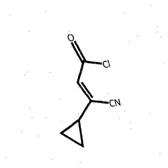 N#CC(=CC(=O)Cl)C1CC1